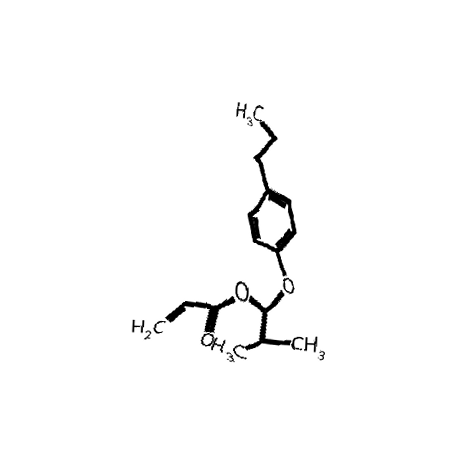 C=CC(=O)OC(Oc1ccc(CCC)cc1)C(C)C